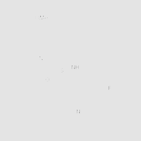 COc1ccc(S(=N)(=O)/C=C/c2ncccc2F)nc1